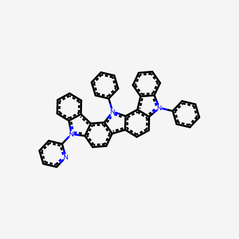 c1ccc(-n2c3ccccc3c3c2ccc2c4ccc5c(c6ccccc6n5-c5ccccn5)c4n(-c4ccccc4)c23)cc1